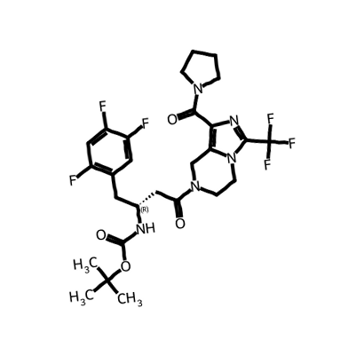 CC(C)(C)OC(=O)N[C@@H](CC(=O)N1CCn2c(C(F)(F)F)nc(C(=O)N3CCCC3)c2C1)Cc1cc(F)c(F)cc1F